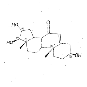 C[C@]12CC[C@H](O)CC1=CC(=O)C1C2CC[C@@]2(C)C1C[C@@H](O)[C@@H]2O